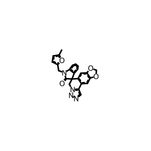 Cc1ccc(CN2C(=O)C3(Cn4nncc4-c4cc5c(cc43)OCO5)c3ccccc32)o1